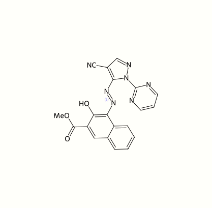 COC(=O)c1cc2ccccc2c(/N=N/c2c(C#N)cnn2-c2ncccn2)c1O